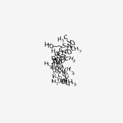 CCCC(=O)N(C)[C@H](SCCCCO)C(=O)N(C)[C@@H](CC(C)(C)O)C(=O)NC(=O)N(C)C(=O)NC(=O)N[C@@H](C)C(=O)N(C)[C@@H](CC(C)C)C(=O)NC